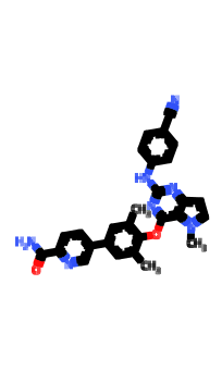 Cc1cc(-c2ccc(C(N)=O)nc2)cc(C)c1Oc1nc(Nc2ccc(C#N)cc2)nc2ccn(C)c12